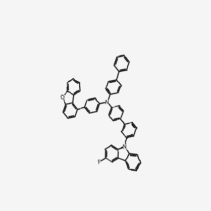 Fc1ccc2c(c1)c1ccccc1n2-c1cccc(-c2ccc(N(c3ccc(-c4ccccc4)cc3)c3ccc(-c4cccc5oc6ccccc6c45)cc3)cc2)c1